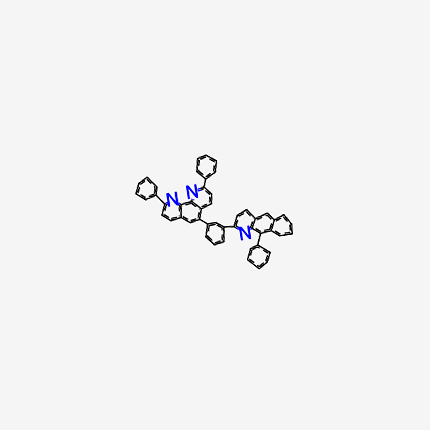 c1ccc(-c2ccc3cc(-c4cccc(-c5ccc6cc7ccccc7c(-c7ccccc7)c6n5)c4)c4ccc(-c5ccccc5)nc4c3n2)cc1